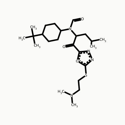 CC(C)CC(C(=O)c1nnc(SCCN(C)C)o1)N(C=O)C1CCC(C(C)(C)C)CC1